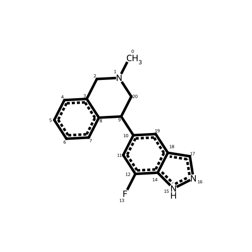 CN1Cc2ccccc2C(c2cc(F)c3[nH]ncc3c2)C1